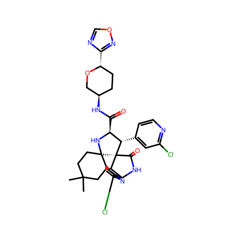 CC1(C)CCC2(CC1)N[C@@H](C(=O)N[C@@H]1CC[C@@H](c3ncon3)OC1)[C@H](c1ccnc(Cl)c1)[C@]21C(=O)Nc2nc(Cl)ccc21